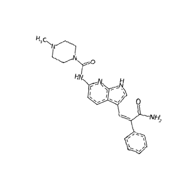 CN1CCN(C(=O)Nc2ccc3c(/C=C(\C(N)=O)c4ccccc4)c[nH]c3n2)CC1